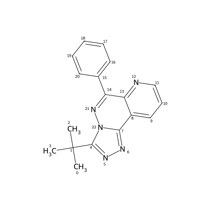 CC(C)(C)c1nnc2c3cccnc3c(-c3ccccc3)nn12